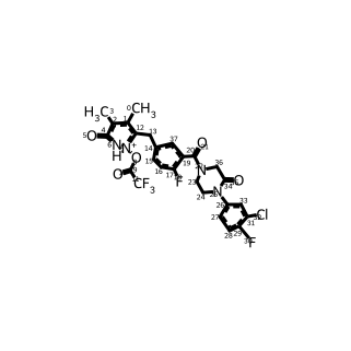 Cc1c(C)c(=O)[nH][n+](OC(=O)C(F)(F)F)c1Cc1ccc(F)c(C(=O)N2CCN(c3ccc(F)c(Cl)c3)C(=O)C2)c1